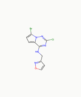 Clc1nc(NCc2ccon2)c2ccc(Br)n2n1